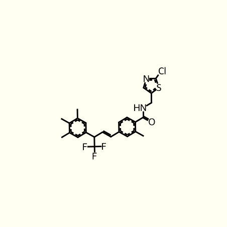 Cc1cc(/C=C/C(c2cc(C)c(C)c(C)c2)C(F)(F)F)ccc1C(=O)NCc1cnc(Cl)s1